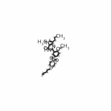 CCCc1cn(C)c2c(=O)[nH]c(-c3cc(S(=O)(=O)N4CCN(CCCCF)CC4)ccc3OCC)nc12